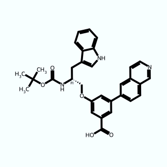 CC(C)(C)OC(=O)N[C@@H](COc1cc(C(=O)O)cc(-c2ccc3cnccc3c2)c1)Cc1c[nH]c2ccccc12